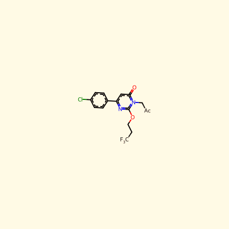 CC(=O)Cn1c(OCCC(F)(F)F)nc(-c2ccc(Cl)cc2)cc1=O